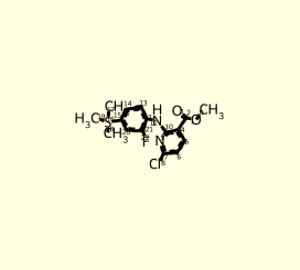 COC(=O)c1ccc(Cl)nc1Nc1ccc(S(C)(C)C)cc1F